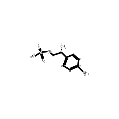 CCCS(=O)(=O)NC[C@H](C)c1ccc(N)cc1